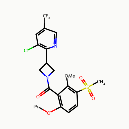 COc1c(S(C)(=O)=O)ccc(OC(C)C)c1C(=O)N1CC(c2ncc(C(F)(F)F)cc2Cl)C1